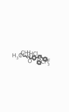 CN(C)CCCNC(=O)c1ccc(-c2ccc(-c3ccc(F)cc3)n2-c2ccccc2C(F)(F)F)cc1.Cl